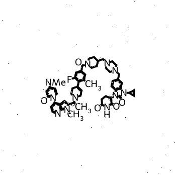 CNc1ccn(-c2ccnc3c2cc([C@H](C)N2CC=C(c4c(C)cc(C(=O)N5CCC(CN6CCN(Cc7ccc8c(c7)n(C7CC7)c(=O)n8[C@@H]7CCC(=O)NC7=O)CC6)CC5)cc4F)CC2)n3C)c(=O)c1